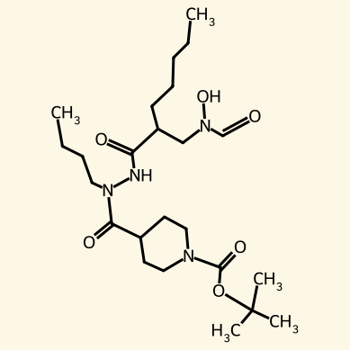 CCCCCC(CN(O)C=O)C(=O)NN(CCCC)C(=O)C1CCN(C(=O)OC(C)(C)C)CC1